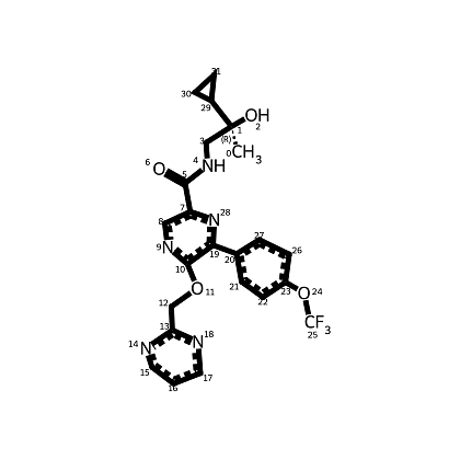 C[C@](O)(CNC(=O)c1cnc(OCc2ncccn2)c(-c2ccc(OC(F)(F)F)cc2)n1)C1CC1